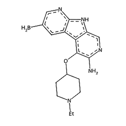 Bc1cnc2[nH]c3cnc(N)c(OC4CCN(CC)CC4)c3c2c1